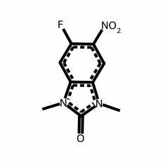 Cn1c(=O)n(C)c2cc([N+](=O)[O-])c(F)cc21